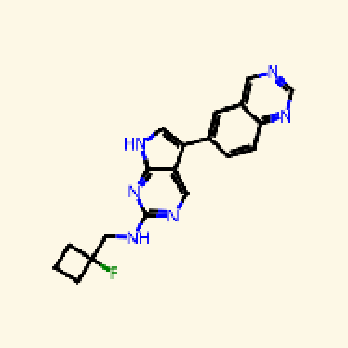 FC1(CNc2ncc3c(-c4ccc5ncncc5c4)c[nH]c3n2)CCC1